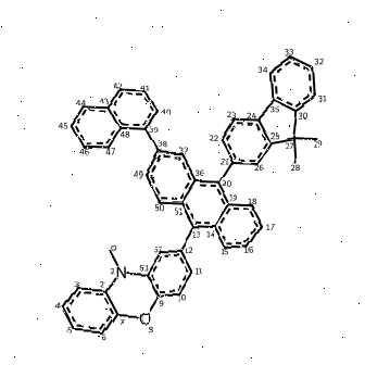 CN1c2ccccc2Oc2ccc(-c3c4ccccc4c(-c4ccc5c(c4)C(C)(C)c4ccccc4-5)c4cc(-c5cccc6ccccc56)ccc34)cc21